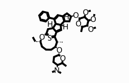 CC[C@H]1CCC[C@H](O[C@H]2CC[C@H](N(C)C)C(C)O2)[C@@H](C)C2=S=C(C[C@@H]3C2=C[C@@H]2C3C(c3ccccc3)=CC3C[C@@H](O[C@@H]4OC(C)[C@H](OC)C(OC)C4OC)C[C@H]32)O1